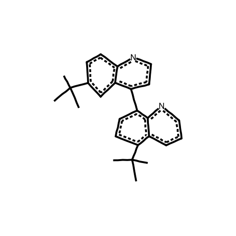 CC(C)(C)c1ccc2nccc(-c3ccc(C(C)(C)C)c4cccnc34)c2c1